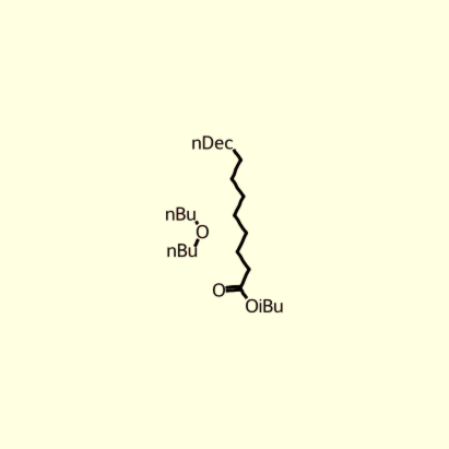 CCCCCCCCCCCCCCCCCC(=O)OCC(C)C.CCCCOCCCC